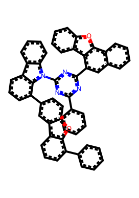 c1ccc(-c2nc(-c3cc4ccccc4c4oc5ccccc5c34)nc(-n3c4ccccc4c4cccc(-c5ccc6oc7c(-c8ccccc8)cccc7c6c5)c43)n2)cc1